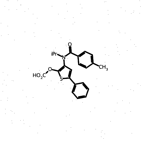 Cc1ccc(C(=O)N(c2cc(-c3ccccc3)sc2OC(=O)O)C(C)C)cc1